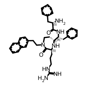 N=C(N)NCCC[C@@H]1N[C@@H]([C@@H](Cc2ccccc2)NC(=O)[C@@H](N)Cc2ccccc2)CCN(CCc2ccc3ccccc3c2)C1=O